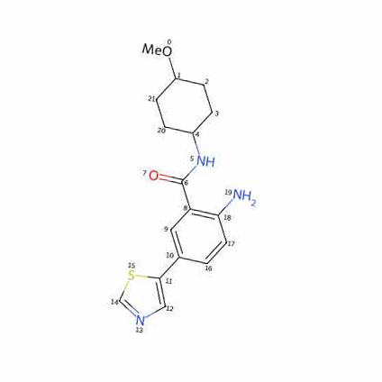 COC1CCC(NC(=O)c2cc(-c3cncs3)ccc2N)CC1